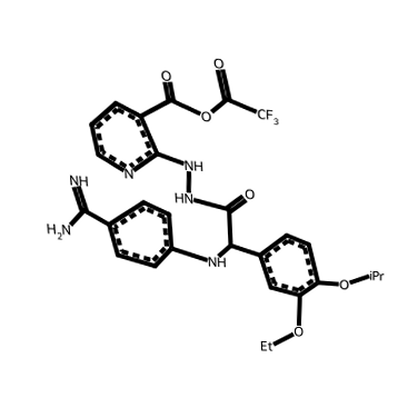 CCOc1cc(C(Nc2ccc(C(=N)N)cc2)C(=O)NNc2ncccc2C(=O)OC(=O)C(F)(F)F)ccc1OC(C)C